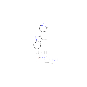 Cc1cc(-c2[nH]c3ccc(C(C)(C)C(=O)N4CC5CNC5C4)cc3c2C(C)C)ccn1